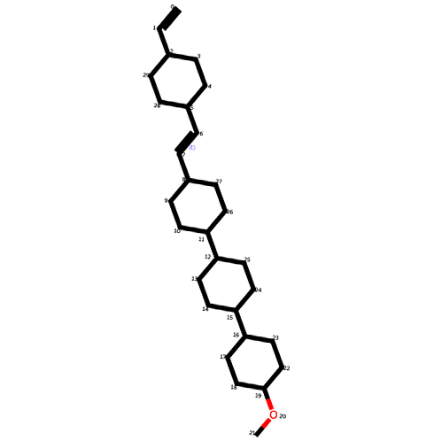 C=CC1CCC(/C=C/C2CCC(C3CCC(C4CCC(OC)CC4)CC3)CC2)CC1